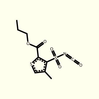 CCCOC(=O)c1scc(C)c1S(=O)(=O)N=C=O